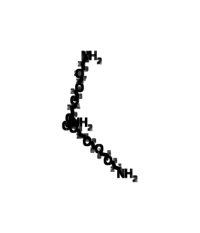 NCCCOCCOCCOCCCOP(N)(=O)OCCCOCCOCCOCCCN